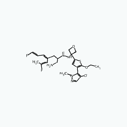 CCOc1sc(C2(NNC(CN)CC(=C/C=C/F)/C=C(\C)F)COC2)cc1-c1c(Cl)cnn1C